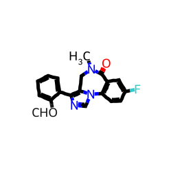 CN1Cc2c(-c3ccccc3C=O)ncn2-c2ccc(F)cc2C1=O